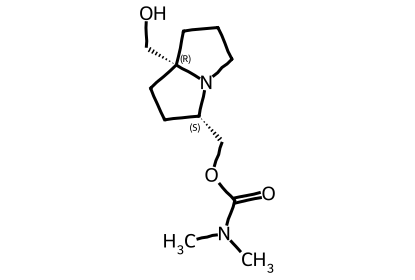 CN(C)C(=O)OC[C@@H]1CC[C@@]2(CO)CCCN12